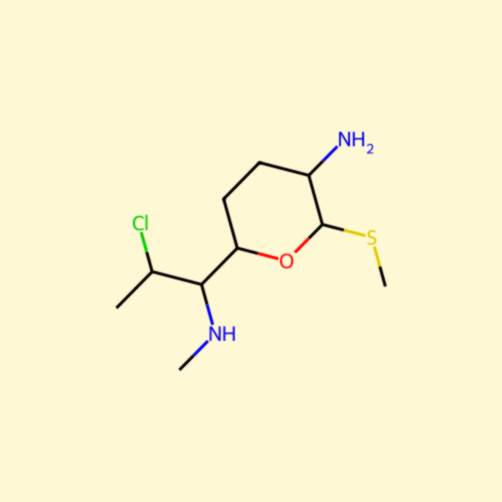 CNC(C(C)Cl)C1CCC(N)C(SC)O1